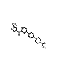 CC(=O)N1CCN(c2ccc(-c3ccnc(Nc4cnn(C)c4)n3)cc2)CC1